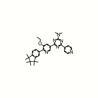 CCOc1cc(-c2nc(-c3ccncc3)nc(N(C)C)n2)cnc1-c1ccc2c(c1)C(C)(C)C(C)(C)C2(C)C